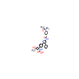 CC(=O)N(C)[C@H]1CC[C@H](CC(=O)Nc2cnc(-c3ccc([C@]4(NC(=O)O)C[C@](C)(O)C4)cc3)c(-c3ccccc3)c2)CC1